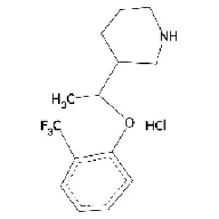 CC(Oc1ccccc1C(F)(F)F)C1CCCNC1.Cl